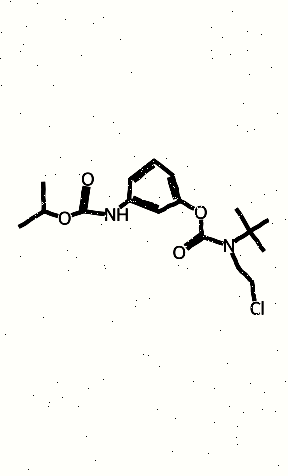 CC(C)OC(=O)Nc1cccc(OC(=O)N(CCCl)C(C)(C)C)c1